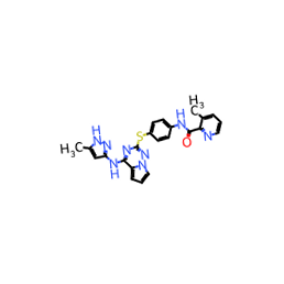 Cc1cc(Nc2nc(Sc3ccc(NC(=O)c4ncccc4C)cc3)nn3cccc23)n[nH]1